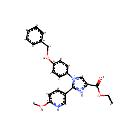 CCOC(=O)c1cn(-c2ccc(OCc3ccccc3)cc2)c(-c2ccc(OC)nc2)n1